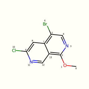 COc1ncc(Br)c2cc(Cl)ncc12